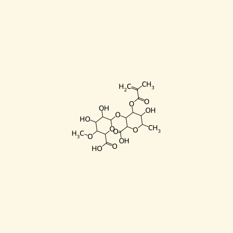 C=C(C)C(=O)OC1C(O)C(C)OC(C(=O)O)C1OC1OC(C(=O)O)C(OC)C(O)C1O